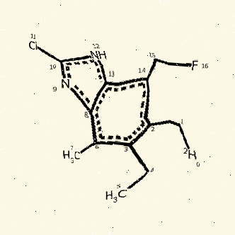 [2H]Cc1c(CC)c(C)c2nc(Cl)[nH]c2c1CF